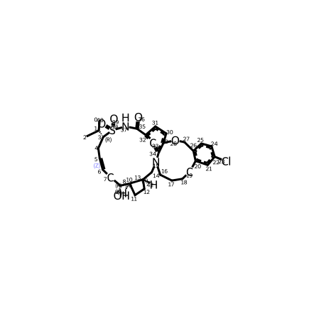 CC(C)[C@H]1C/C=C\C[C@@H](O)[C@@H]2CC[C@H]2CN2CCCCc3cc(Cl)ccc3COc3ccc(cc32)C(=O)NS1(=O)=O